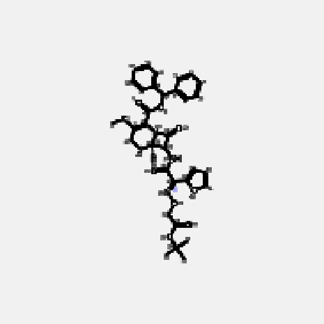 CSC1=C(C(=O)OC(c2ccccc2)c2ccccc2)N2C(=O)C(NC(=O)/C(=N/OCC(=O)OC(C)(C)C)c3ccco3)[C@H]2SC1